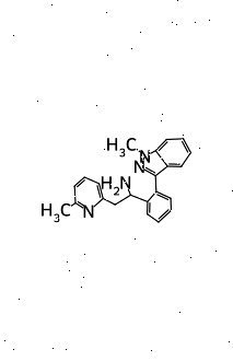 Cc1cccc(CC(N)c2ccccc2-c2nn(C)c3ccccc23)n1